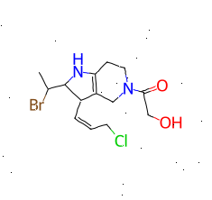 CC(Br)C1NC2=C(CN(C(=O)CO)CC2)C1/C=C\CCl